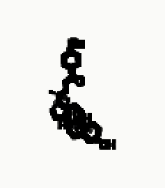 C[C@H](CCC(=O)N1CCN(C(C)(C)C)CC1)[C@H]1CC[C@H]2[C@@H]3CC=C4C[C@@H](O)CC[C@]4(C)[C@H]3CC[C@]12C